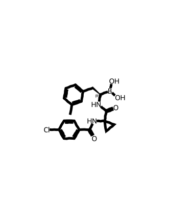 Cc1cccc(C[C@H](NC(=O)C2(NC(=O)c3ccc(Cl)cc3)CC2)B(O)O)c1